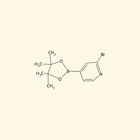 CC1(C)OB(c2ccnc(Br)c2)OC1(C)C